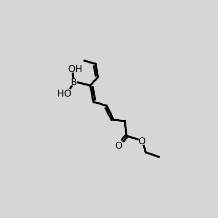 C\C=C/C(=C\C=C\CC(=O)OCC)B(O)O